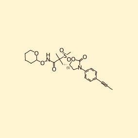 CC#Cc1ccc(N2C[C@H](CC(C)(C(=O)NOC3CCCCO3)S(C)(=O)=O)OC2=O)cc1